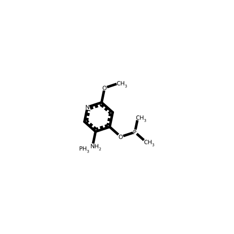 COc1cc(OP(C)C)c(N)cn1.P